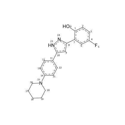 Oc1ccc(F)cc1-c1cc(-c2ccc(N3CCCCC3)cc2)[nH]n1